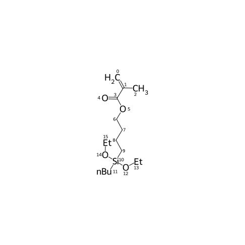 C=C(C)C(=O)OCCCC[Si](CCCC)(OCC)OCC